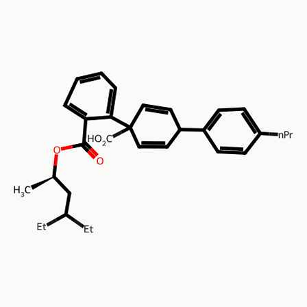 CCCc1ccc(C2C=CC(C(=O)O)(c3ccccc3C(=O)O[C@H](C)CC(CC)CC)C=C2)cc1